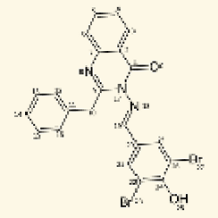 O=c1c2ccccc2nc(Cc2ccccc2)n1N=Cc1cc(Br)c(O)c(Br)c1